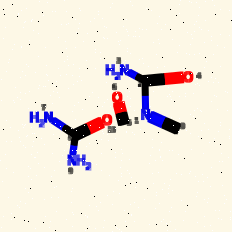 C=NC(N)=O.C=O.NC(N)=O